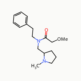 COCC(=O)N(CCc1ccccc1)CC1CCCN1C